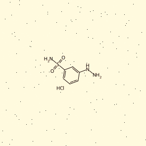 Cl.NNc1cccc(S(N)(=O)=O)c1